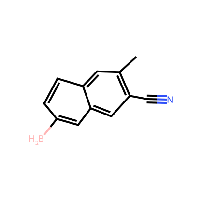 Bc1ccc2cc(C)c(C#N)cc2c1